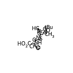 C#CCOC(CC(C(C)C)N(C)C(=O)OC(C)(C)C)c1nc(C(=O)NC(Cc2ccccc2)CC(C)C(=O)O)cs1